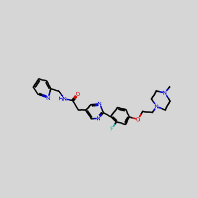 CN1CCN(CCOc2ccc(-c3ncc(CC(=O)NCc4ccccn4)cn3)c(F)c2)CC1